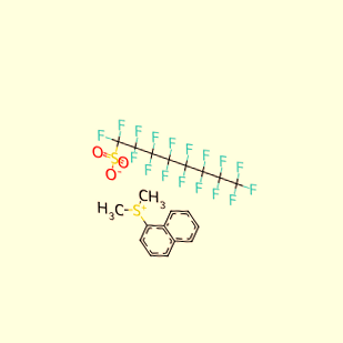 C[S+](C)c1cccc2ccccc12.O=S(=O)([O-])C(F)(F)C(F)(F)C(F)(F)C(F)(F)C(F)(F)C(F)(F)C(F)(F)C(F)(F)F